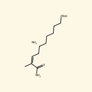 CCCCCCCCCCCCCCCCC=C(C)C(N)=O.N